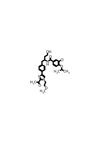 COCCn1cc(-c2ccc(CC(CCO)NC(=O)c3ccc(OC(C)C)c(Cl)c3)cc2)nc1C(C)=O